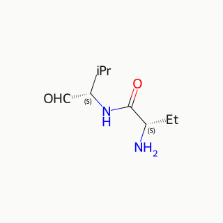 CC[C@H](N)C(=O)N[C@H](C=O)C(C)C